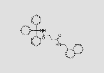 O=C(CCC(=O)NC(c1ccccc1)(c1ccccc1)c1ccccc1)NCc1cccc2ccccc12